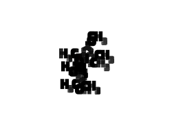 COCc1cc(C(C)C)c(CC(=O)N=[S@@](N)(=O)c2cc(C(C)(C)O)cs2)c(C(C)C)c1